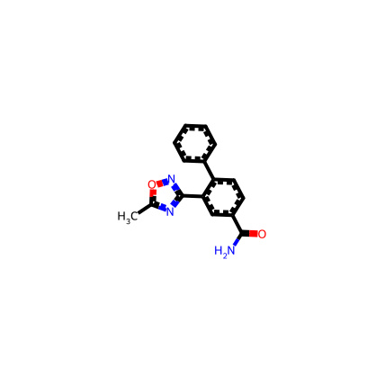 Cc1nc(-c2cc(C(N)=O)ccc2-c2ccccc2)no1